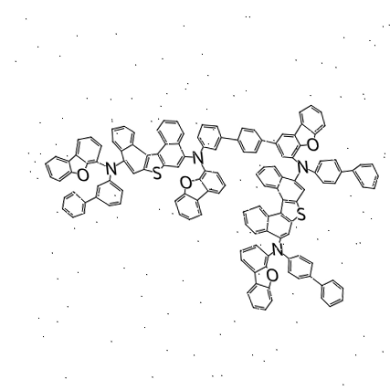 c1ccc(-c2ccc(N(c3cc4sc5cc(N(c6ccc(-c7ccccc7)cc6)c6cc(-c7ccc(-c8cccc(N(c9cc%10sc%11cc(N(c%12cccc(-c%13ccccc%13)c%12)c%12cccc%13c%12oc%12ccccc%12%13)c%12ccccc%12c%11c%10c%10ccccc9%10)c9cccc%10c9oc9ccccc9%10)c8)cc7)cc7c6oc6ccccc67)c6ccccc6c5c4c4ccccc34)c3cccc4c3oc3ccccc34)cc2)cc1